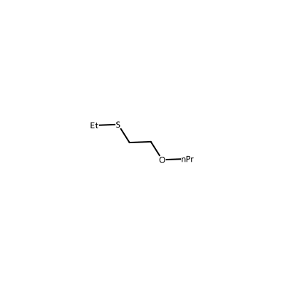 CCCOCCSCC